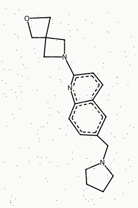 c1cc2nc(N3CC4(COC4)C3)ccc2cc1CN1CCCC1